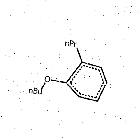 [CH2]CCc1ccccc1OCCCC